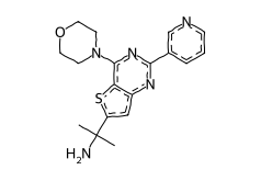 CC(C)(N)c1cc2nc(-c3cccnc3)nc(N3CCOCC3)c2s1